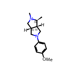 COc1ccc(N2C[C@@H]3CN(C)[C@@H](C)[C@@H]3C2)cc1